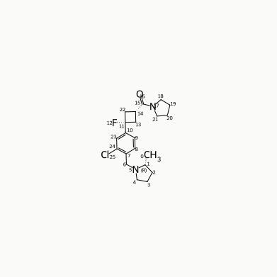 C[C@@H]1CCCN1Cc1ccc([C@]2(F)C[C@@H](C(=O)N3CCCC3)C2)cc1Cl